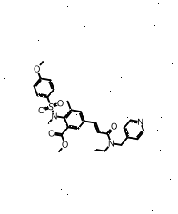 CCN(Cc1ccncc1)C(=O)C=Cc1cc(C)c(N(C)S(=O)(=O)c2ccc(OC)cc2)c(C(=O)OC)c1